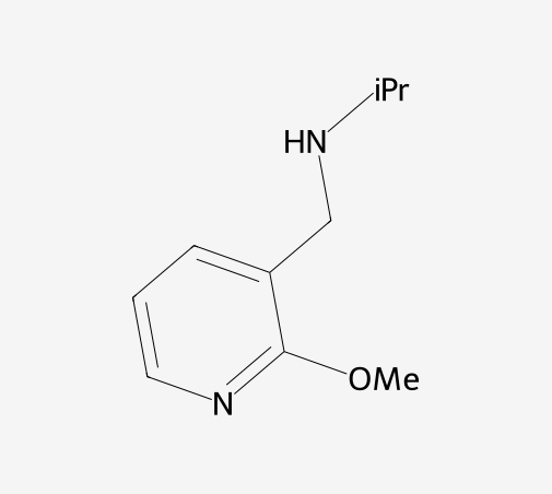 COc1ncccc1CNC(C)C